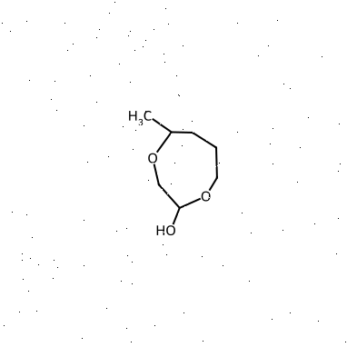 CC1CCCOC(O)CO1